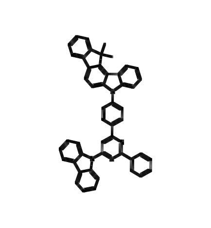 CC1(C)c2ccccc2-c2ccc3c(c21)c1ccccc1n3-c1ccc(-c2cc(-n3c4ccccc4c4ccccc43)nc(-c3ccccc3)n2)cc1